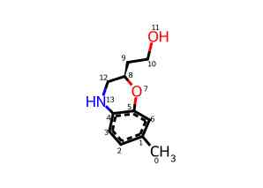 Cc1ccc2c(c1)O[C@H](CCO)CN2